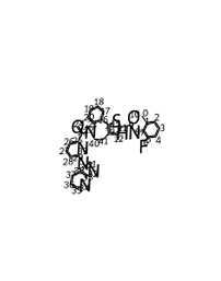 Cc1cccc(F)c1NC(=O)c1cc2c(s1)-c1ccccc1N(C(=O)c1cccc(-n3cnc4ncccc43)n1)CC2